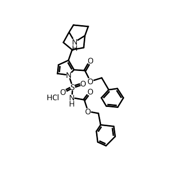 Cl.O=C(NS(=O)(=O)n1ccc(C2CC3CCC(C2)N3)c1C(=O)OCc1ccccc1)OCc1ccccc1